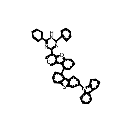 C1=CCC(C2=NC(c3cccc4c3oc3cccc(-c5cccc6sc7cc(-n8c9ccccc9c9ccccc98)ccc7c56)c34)=NC(c3ccccc3)N2)C=C1